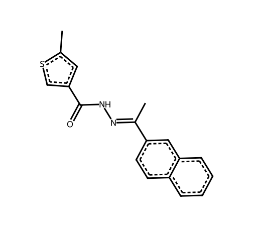 CC(=NNC(=O)c1csc(C)c1)c1ccc2ccccc2c1